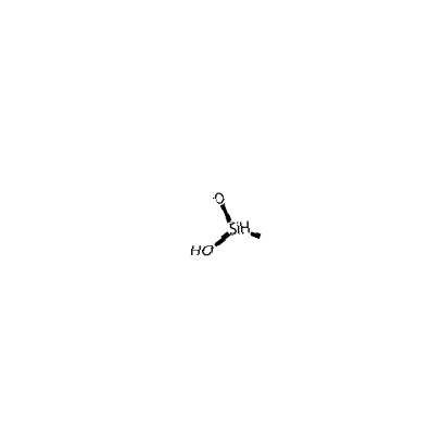 C[SiH]([O])O